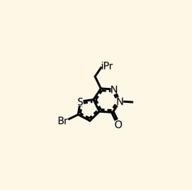 CC(C)Cc1nn(C)c(=O)c2cc(Br)sc12